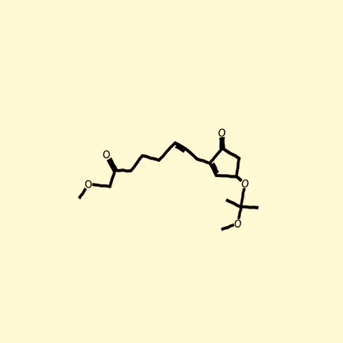 COCC(=O)CCC/C=C\CC1=CC(OC(C)(C)OC)CC1=O